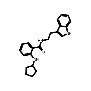 O=C(NCCc1c[nH]c2ccccc12)c1ccccc1NC1CCCC1